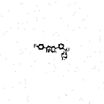 O=C(c1cccc(-c2cc3cc(-c4ccc(F)cc4)nn3cn2)c1)N1CCOCC1